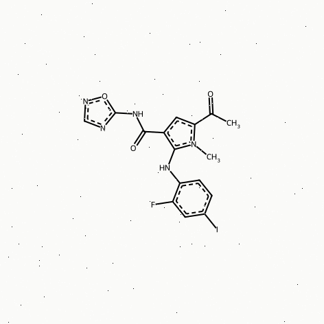 CC(=O)c1cc(C(=O)Nc2ncno2)c(Nc2ccc(I)cc2F)n1C